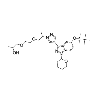 CC(O)COCCOCC(C)n1cc(-c2nn(C3CCCCO3)c3ccc(O[Si](C)(C)C(C)(C)C)cc23)cn1